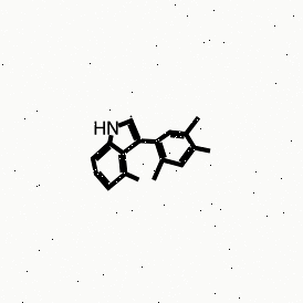 Cc1cc(C)c(-c2[c][nH]c3cccc(C)c23)cc1C